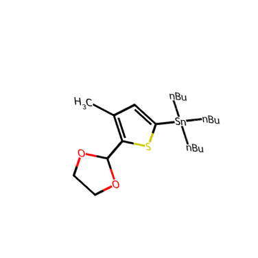 CCC[CH2][Sn]([CH2]CCC)([CH2]CCC)[c]1cc(C)c(C2OCCO2)s1